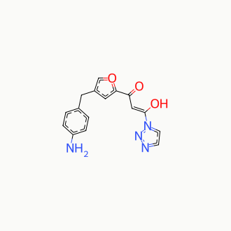 Nc1ccc(Cc2coc(C(=O)C=C(O)n3ccnn3)c2)cc1